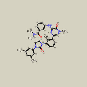 Cc1cc(C)cc(N2CCN(c3cccc(-c4cn(C)c(=O)c(Nc5cccc(C(=O)N(C)C)c5)n4)c3C)C2=O)c1